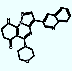 O=C1CCNc2c1c(N1CCOCC1)nc1c(-c3cnc4ccccc4c3)cnn21